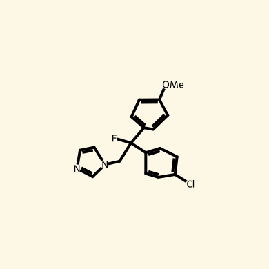 COc1ccc(C(F)(Cn2ccnc2)c2ccc(Cl)cc2)cc1